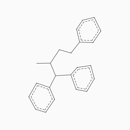 CC(CCc1ccccc1)C(c1ccccc1)c1ccccc1